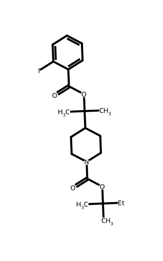 CCC(C)(C)OC(=O)N1CCC(C(C)(C)OC(=O)c2ccccc2I)CC1